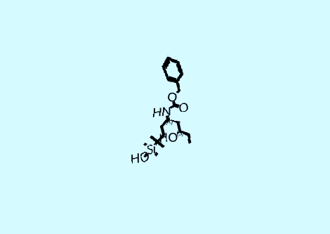 CC[C@H](O)C[C@@H](CCC(C)(C)[Si](C)(C)O)NC(=O)OCc1ccccc1